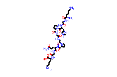 NCCCC[C@H](NC(=O)CNC(=O)[C@H](CCC(N)=O)NC(=O)[C@@H]1CCCN1C(=O)CNC(=O)CNC(=O)[C@@H]1CCCN1C(=O)[C@H](Cc1c[nH]cn1)NC(=O)CNC(=O)[C@@H](N)CCCCN)C(=O)O